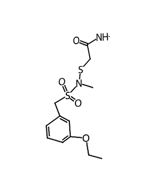 CCOc1cccc(CS(=O)(=O)N(C)SCC([NH])=O)c1